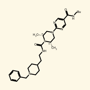 CCC(C)NC(=O)c1cnc(N2C[C@@H](C)N(C(=O)NCCC3CCN(Cc4ccccc4)CC3)[C@@H](C)C2)nc1